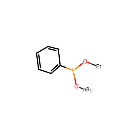 CCCCOP(OCC)c1ccccc1